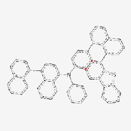 c1ccc(N(c2ccc(-c3cccc4cccc(-c5cccc6c5sc5ccccc56)c34)cc2)c2ccc(-c3cccc4ccccc34)c3ccccc23)cc1